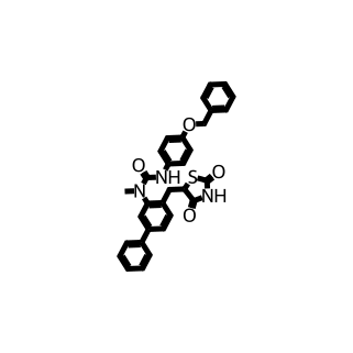 CN(C(=O)Nc1ccc(OCc2ccccc2)cc1)c1cc(-c2ccccc2)ccc1CC1SC(=O)NC1=O